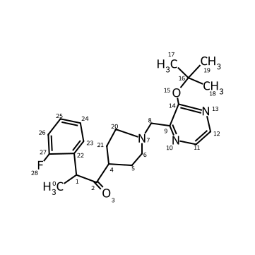 CC(C(=O)C1CCN(Cc2nccnc2OC(C)(C)C)CC1)c1ccccc1F